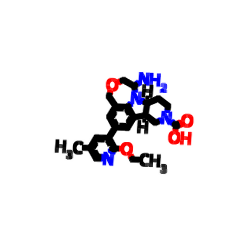 CCOc1ncc(C)cc1-c1cc2c3c(c1)[C@@H]1CN(C(=O)O)CC[C@@H]1N3C(N)COC2